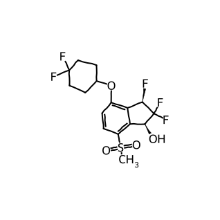 CS(=O)(=O)c1ccc(OC2CCC(F)(F)CC2)c2c1[C@H](O)C(F)(F)[C@@H]2F